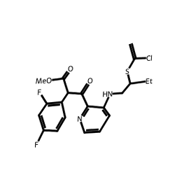 C=C(Cl)SC(CC)CNc1cccnc1C(=O)C(C(=O)OC)c1ccc(F)cc1F